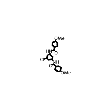 COc1ccc(C(=O)Nc2cc(Cl)cc(NC(=O)c3ccc(OC)cc3)c2)cc1